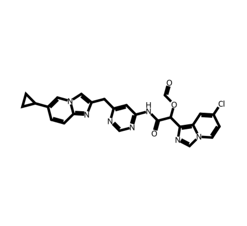 O=COC(C(=O)Nc1cc(Cc2cn3cc(C4CC4)ccc3n2)ncn1)c1ncn2ccc(Cl)cc12